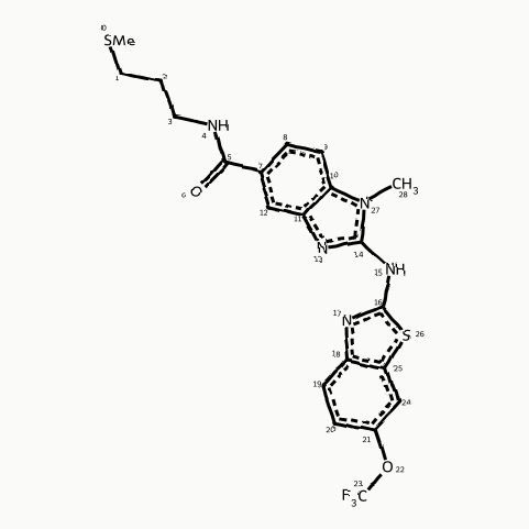 CSCCCNC(=O)c1ccc2c(c1)nc(Nc1nc3ccc(OC(F)(F)F)cc3s1)n2C